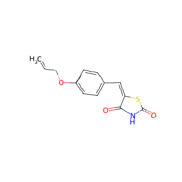 C=CCOc1ccc(C=C2SC(=O)NC2=O)cc1